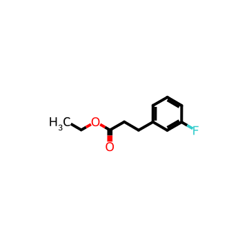 CCOC(=O)CCc1cccc(F)c1